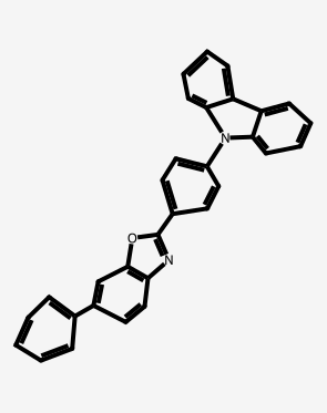 c1ccc(-c2ccc3nc(-c4ccc(-n5c6ccccc6c6ccccc65)cc4)oc3c2)cc1